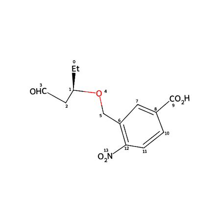 CC[C@H](CC=O)OCc1cc(C(=O)O)ccc1[N+](=O)[O-]